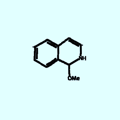 COC1N[C]=Cc2c[c]ccc21